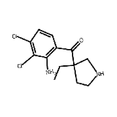 CCC1(C(=O)c2ccc(Cl)c(Cl)c2N)CCNC1